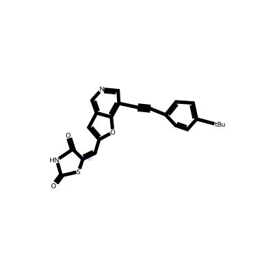 CC(C)(C)c1ccc(C#Cc2cncc3cc(/C=C4/SC(=O)NC4=O)oc23)cc1